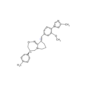 COc1cc(/C=C2\CCCN3C[C@@H](c4ccc(C)cc4)CON=C23)ccc1-n1cnc(C)c1